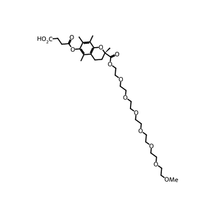 COCCOCCOCCOCCOCCOCCOCCOC(=O)[C@]1(C)CCc2c(C)c(OC(=O)CCC(=O)O)c(C)c(C)c2O1